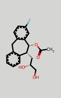 CC(=O)O[C@H]1c2cc(F)ccc2Cc2ccccc2[C@H]1C[C@@H](O)CO